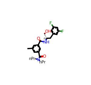 CCCN(CCC)C(=O)c1cc(C)cc(C(=O)N[C@H](CO)Cc2cc(F)cc(F)c2)c1